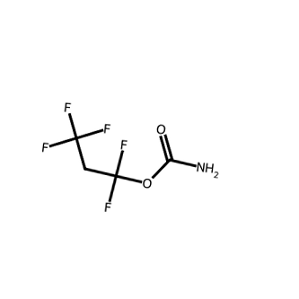 NC(=O)OC(F)(F)CC(F)(F)F